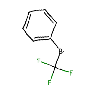 FC(F)(F)[B]c1ccccc1